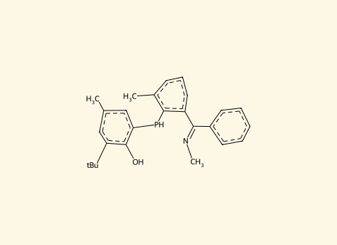 C/N=C(\c1ccccc1)c1cccc(C)c1Pc1cc(C)cc(C(C)(C)C)c1O